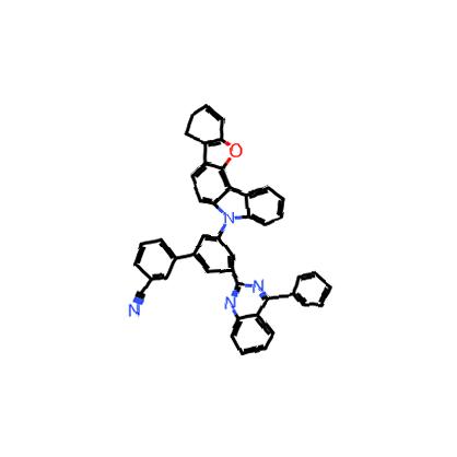 N#Cc1cccc(-c2cc(-c3nc(-c4ccccc4)c4ccccc4n3)cc(-n3c4ccccc4c4c5oc6c(c5ccc43)CCC=C6)c2)c1